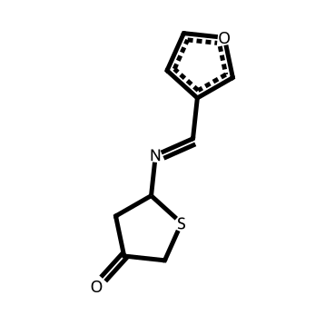 O=C1CSC(N=Cc2ccoc2)C1